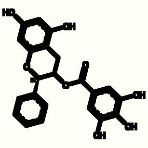 O=C(OC1Cc2c(O)cc(O)cc2O[C@H]1c1ccccc1)c1cc(O)c(O)c(O)c1